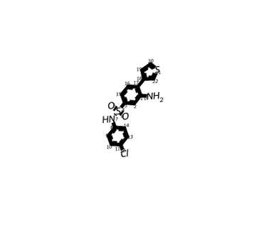 Nc1cc(S(=O)(=O)Nc2ccc(Cl)cc2)ccc1-c1ccsc1